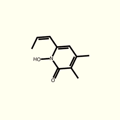 C/C=C\c1cc(C)c(C)c(=O)n1O